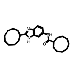 O=C(Bc1ccc2nc(C3CCCCCCCC3)[nH]c2c1)C1CCCCCCCC1